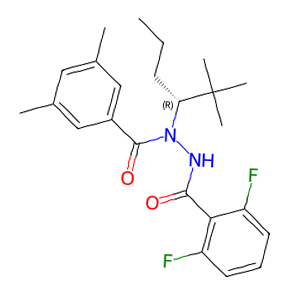 CCC[C@@H](N(NC(=O)c1c(F)cccc1F)C(=O)c1cc(C)cc(C)c1)C(C)(C)C